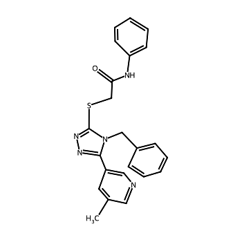 Cc1cncc(-c2nnc(SCC(=O)Nc3ccccc3)n2Cc2ccccc2)c1